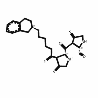 O=C[C@H]1NCC(=S)C1C(=O)[C@H]1NCC(=S)C1C(=O)CCCCC[C@@H]1CCc2ccccc2C1